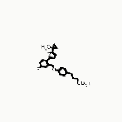 CC1(c2ccc(-c3ccc(F)cc3COc3ccc(CCCC(=O)O)cc3)s2)CC1